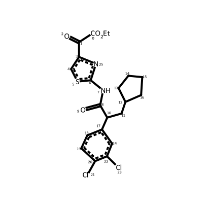 CCOC(=O)C(=O)c1csc(NC(=O)C(CC2CCCC2)c2ccc(Cl)c(Cl)c2)n1